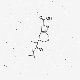 CN(C(=O)OC(C)(C)C)C1CCCc2sc(C(=O)O)cc2C1